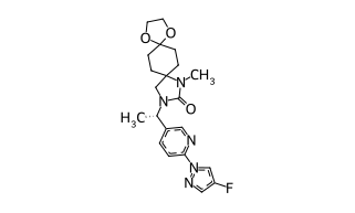 C[C@@H](c1ccc(-n2cc(F)cn2)nc1)N1CC2(CCC3(CC2)OCCO3)N(C)C1=O